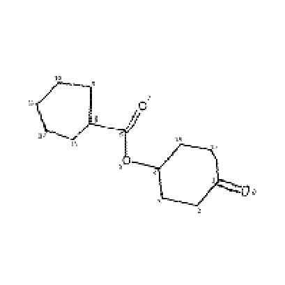 O=C1CCC(OC(=O)C2CCCCC2)CC1